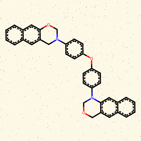 c1ccc2cc3c(cc2c1)CN(c1ccc(Oc2ccc(N4COCc5cc6ccccc6cc54)cc2)cc1)CO3